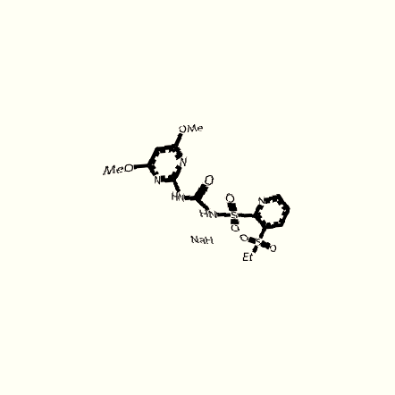 CCS(=O)(=O)c1cccnc1S(=O)(=O)NC(=O)Nc1nc(OC)cc(OC)n1.[NaH]